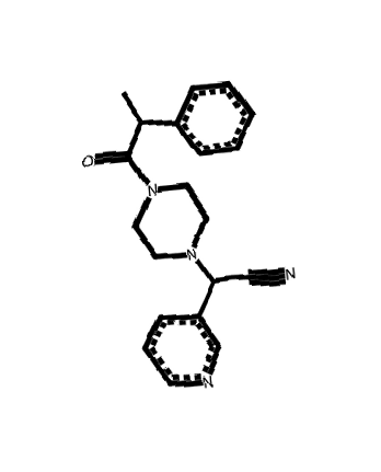 CC(C(=O)N1CCN(C(C#N)c2cccnc2)CC1)c1ccccc1